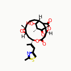 C/C(=C\c1csc(C)n1)[C@@H]1C[C@@H]2O[C@]2(C)CCC[C@@H]2C3C(=O)O[C@@H](CC(=O)O1)[C@]3(C)C(=O)[C@H](C)[C@H]2O